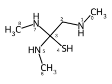 CNCC(S)(NC)NC